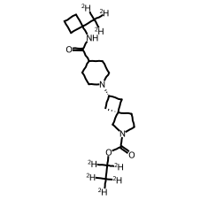 [2H]C([2H])([2H])C1(NC(=O)C2CCN([C@H]3C[C@@]4(CCN(C(=O)OC([2H])([2H])C([2H])([2H])[2H])C4)C3)CC2)CCC1